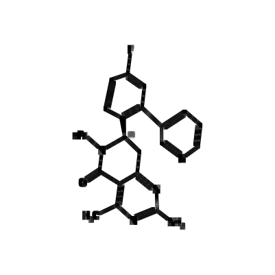 [CH2]CCN1C(=O)c2c(C)nc(N)nc2C[C@@H]1c1ccc(F)cc1-c1cccnc1